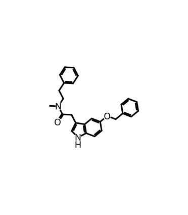 CN(CCc1ccccc1)C(=O)Cc1c[nH]c2ccc(OCc3ccccc3)cc12